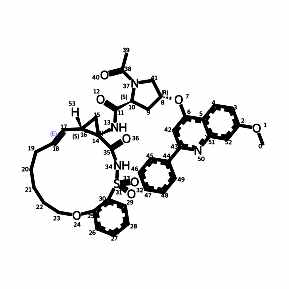 COc1ccc2c(O[C@@H]3C[C@@H](C(=O)N[C@]45C[C@H]4/C=C/CCCCCOc4ccccc4S(=O)(=O)NC5=O)N(C(C)=O)C3)cc(-c3ccccc3)nc2c1